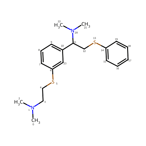 CN(C)CCSc1cccc(C(CSc2cc[c]cc2)N(C)C)c1